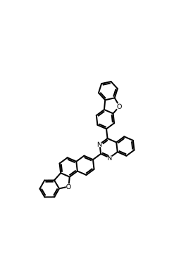 c1ccc2c(-c3ccc4c(c3)oc3ccccc34)nc(-c3ccc4c(ccc5c6ccccc6oc45)c3)nc2c1